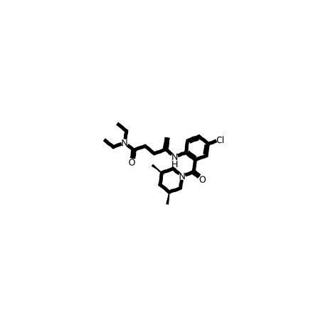 C=C(CCC(=O)N(CC)CC)Nc1ccc(Cl)cc1C(=O)N1C[C@H](C)C[C@H](C)C1